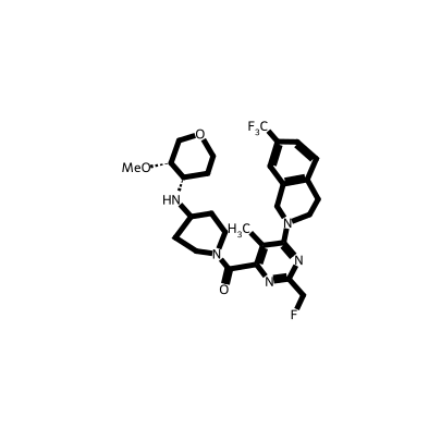 CO[C@@H]1COCC[C@@H]1NC1CCN(C(=O)c2nc(CF)nc(N3CCc4ccc(C(F)(F)F)cc4C3)c2C)CC1